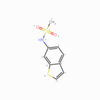 CS(=O)(=O)Nc1ccc2[c]csc2c1